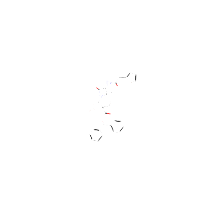 CS(=O)(=O)OC1(C(=O)OC(c2ccccc2)c2ccccc2)CS[C@@H]2C(NC(=O)Cc3cccs3)C(=O)N2C1